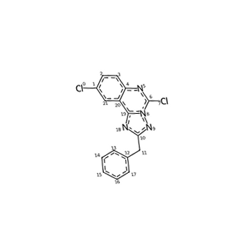 Clc1ccc2nc(Cl)n3nc(Cc4ccccc4)nc3c2c1